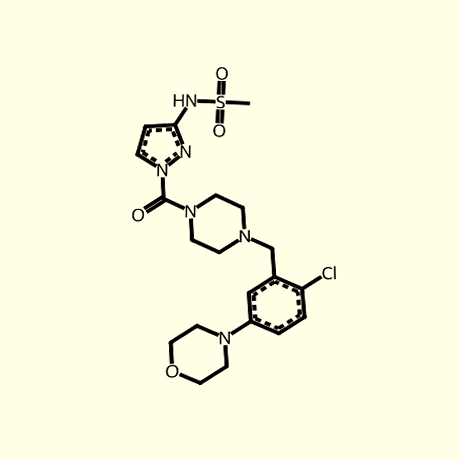 CS(=O)(=O)Nc1ccn(C(=O)N2CCN(Cc3cc(N4CCOCC4)ccc3Cl)CC2)n1